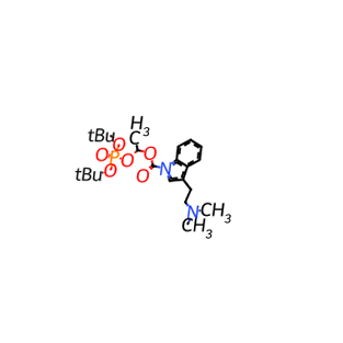 CC(OC(=O)n1cc(CCN(C)C)c2ccccc21)OP(=O)(OC(C)(C)C)OC(C)(C)C